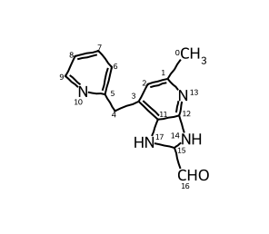 Cc1cc(Cc2ccccn2)c2c(n1)NC(C=O)N2